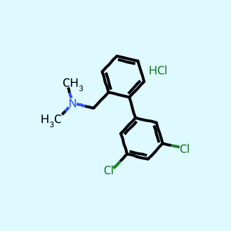 CN(C)Cc1ccccc1-c1cc(Cl)cc(Cl)c1.Cl